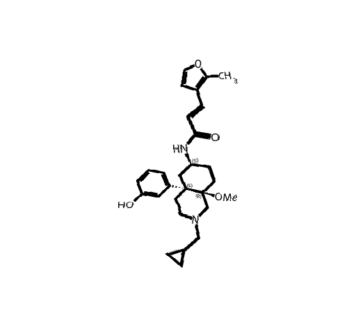 CO[C@]12CC[C@H](NC(=O)C=Cc3ccoc3C)C[C@]1(c1cccc(O)c1)CCN(CC1CC1)C2